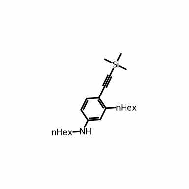 CCCCCCNc1ccc(C#C[Si](C)(C)C)c(CCCCCC)c1